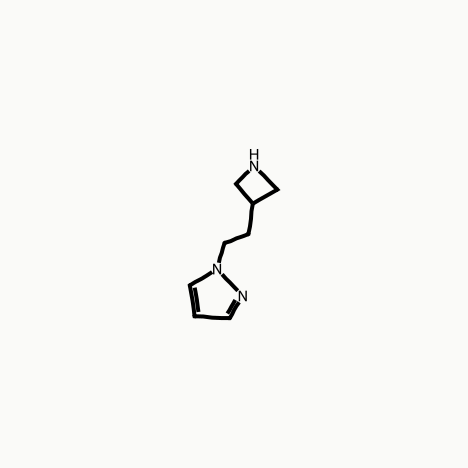 c1cnn(CCC2CNC2)c1